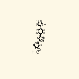 COc1cccc(-c2cc(-c3ccc(C4=NCCN4)cc3)no2)c1